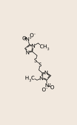 CCn1c([N+](=O)[O-])cnc1CSSCc1ncc([N+](=O)[O-])n1CC